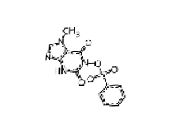 Cn1cnc2[nH]c(=O)n(OS(=O)(=O)c3ccccc3)c(=O)c21